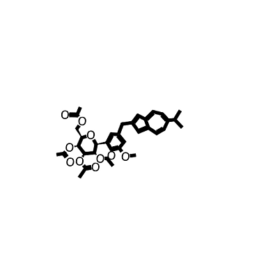 COc1cc(Cc2cc3ccc(C(C)C)ccc-3c2)cc([C@@H]2O[C@H](COC(C)=O)[C@@H](OC(C)=O)[C@H](OC(C)=O)[C@H]2OC(C)=O)c1